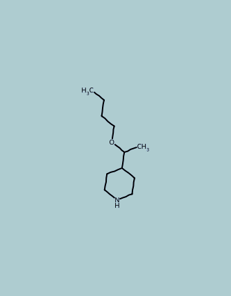 CCCCOC(C)C1CCNCC1